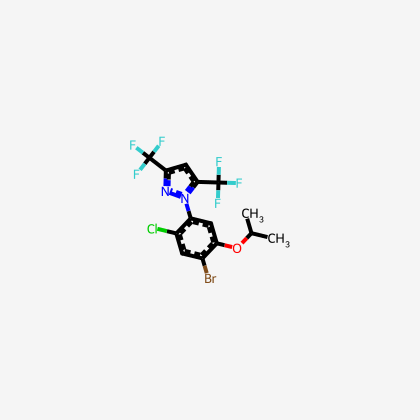 CC(C)Oc1cc(-n2nc(C(F)(F)F)cc2C(F)(F)F)c(Cl)cc1Br